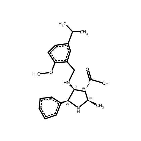 COc1ccc(C(C)C)cc1CN[C@H]1[C@H](C(=O)O)[C@@H](C)N[C@H]1c1ccccc1